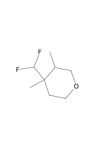 CC1COCCC1(C)C(F)F